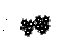 CC1(c2ccccc2)c2ccccc2Oc2c(-c3cccc(C4(c5ccccc5)c5ccccc5-c5ccc6ccccc6c54)c3)cccc21